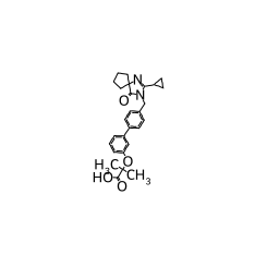 CC(C)(Oc1cccc(-c2ccc(CN3C(=O)C4(CCCC4)N=C3C3CC3)cc2)c1)C(=O)O